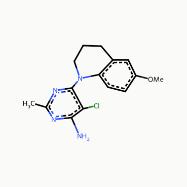 COc1ccc2c(c1)CCCN2c1nc(C)nc(N)c1Cl